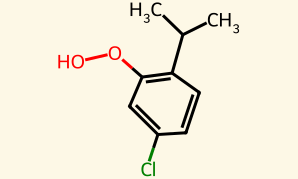 CC(C)c1ccc(Cl)cc1OO